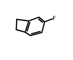 Fc1ccc2c(c1)CC2